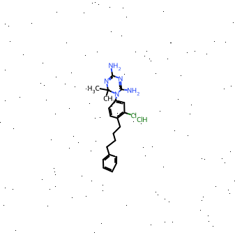 CC1(C)N=C(N)N=C(N)N1c1ccc(CCCCc2ccccc2)c(Cl)c1.Cl